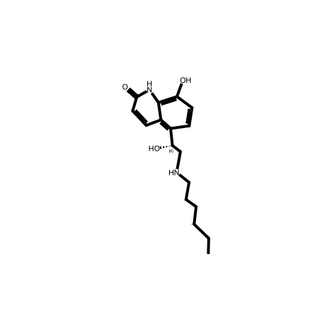 CC[CH]CCCNC[C@H](O)c1ccc(O)c2[nH]c(=O)ccc12